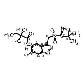 CCC(C)(C)C(=O)Nc1cc2c(CS(=O)(=O)C3=NOC(C)(C)C3)noc2cc1F